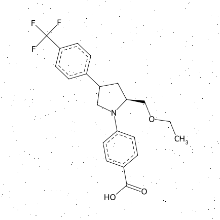 CCOC[C@@H]1CC(c2ccc(C(F)(F)F)cc2)CN1c1ccc(C(=O)O)cc1